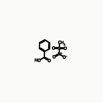 CS(=O)(=O)[N+](=O)[O-].O=C(O)c1ccccc1